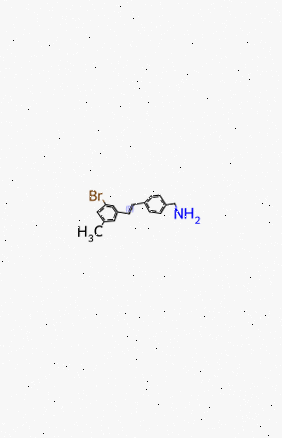 Cc1cc(Br)cc(/C=C/c2ccc(CN)cc2)c1